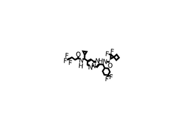 O=C(CCC(F)(F)F)NC(c1cnn2cc([C@@H](NC(=O)[C@@H]3C(F)(F)C34CCC4)C3CCC(F)(F)CC3)nc2c1)C1CC1